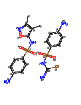 Cc1noc(NS(=O)(=O)c2ccc(N)cc2)c1C.N=C(S)NS(=O)(=O)c1ccc(N)cc1